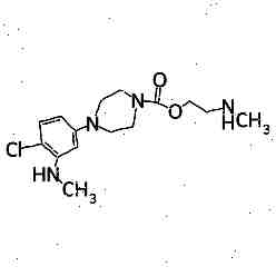 CNCCOC(=O)N1CCN(c2ccc(Cl)c(NC)c2)CC1